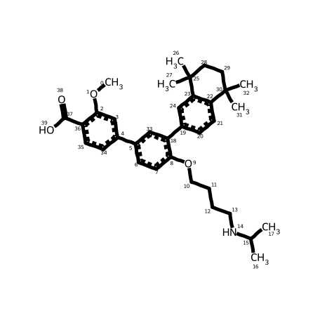 COc1cc(-c2ccc(OCCCCNC(C)C)c(-c3ccc4c(c3)C(C)(C)CCC4(C)C)c2)ccc1C(=O)O